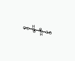 O=C(CCCCC(=O)NCCCCOCC1CO1)NCCCCOCC1CO1